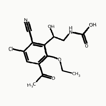 CCOc1c(C(C)=O)cc(Cl)c(C#N)c1C(O)CNC(=O)O